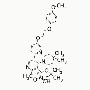 COc1ccc(OCCOc2ccc(-c3cnc(C)c([C@H](OC(C)(C)C)C(=O)O)c3N3CCC(C)(C)CC3)nc2)cc1